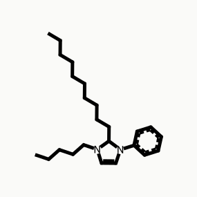 CCCCCCCCCCC1N(CCCCC)C=CN1c1ccccc1